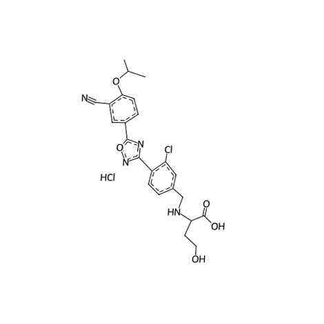 CC(C)Oc1ccc(-c2nc(-c3ccc(CNC(CCO)C(=O)O)cc3Cl)no2)cc1C#N.Cl